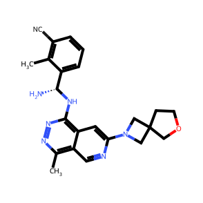 Cc1c(C#N)cccc1[C@@H](N)Nc1nnc(C)c2cnc(N3CC4(CCOC4)C3)cc12